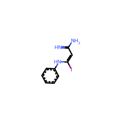 N=C(N)/C=C(/I)Nc1ccccc1